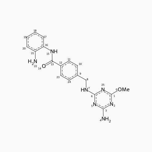 COc1nc(N)nc(NCc2ccc(C(=O)Nc3ccccc3N)cc2)n1